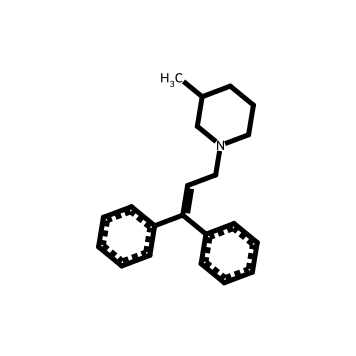 CC1CCCN(CC=C(c2ccccc2)c2ccccc2)C1